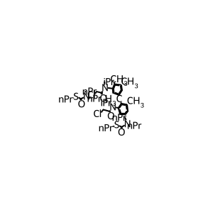 CCCSC(=O)N(CCC)CCC.CCCSC(=O)N(CCC)CCC.Cc1cccc(N(C(=O)CCl)C(C)C)c1C.Cc1cccc(N(C(=O)CCl)C(C)C)c1C